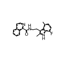 Cc1[nH]c2c(F)ccc(C)c2c1CCNC(=O)c1nccc2ccccc12